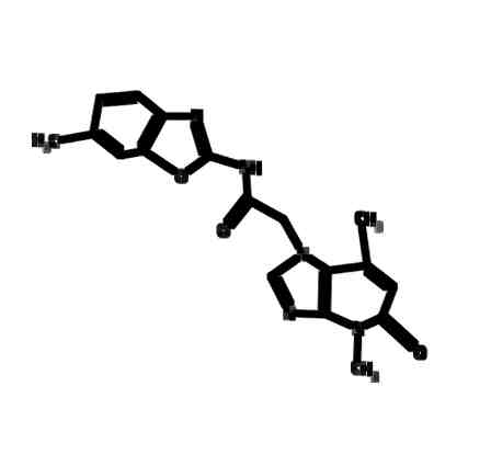 Cc1ccc2nc(NC(=O)Cn3cnc4c3c(C)cc(=O)n4C)oc2c1